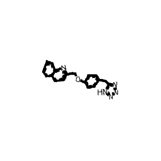 c1ccc2nc(COc3ccc(Cc4nnn[nH]4)cc3)ccc2c1